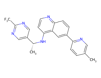 Cc1ccc(-c2ccc3nccc(N[C@H](C)c4cnc(C(F)(F)F)nc4)c3c2)nc1